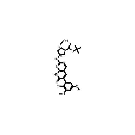 COc1cc(OC)c(Cl)c(-c2cc3cnc(N[C@H]4C[C@@H](CO)N(C(=O)OC(C)(C)C)C4)nc3[nH]c2=O)c1